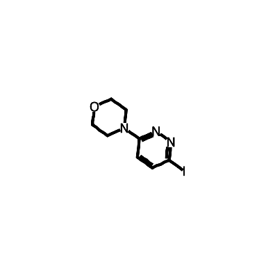 Ic1ccc(N2CCOCC2)nn1